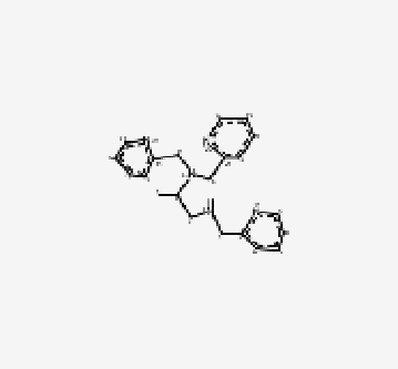 CC(CNCc1ccccn1)N(Cc1ccccn1)Cc1ccccn1